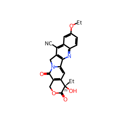 CCOc1ccc2nc3c(c(C#N)c2c1)Cn1c-3cc2c(c1=O)COC(=O)[C@]2(O)CC